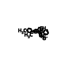 CCC(CNc1ccc(C)cc1C)NS(=O)(=O)c1ccccc1[N+](=O)[O-]